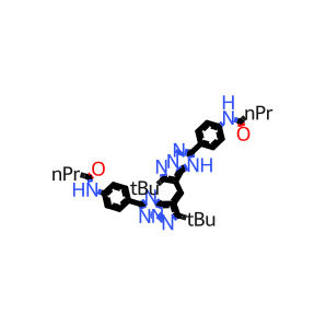 CCCC(=O)Nc1ccc(-c2nc3/c(=C\c4c(C(C)(C)C)nn5nc(-c6ccc(NC(=O)CCC)cc6)[nH]c45)c(C(C)(C)C)nn3n2)cc1